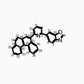 c1cc(-c2ccc3ncoc3c2)nc(-c2cc3ccc4ccccc4c3c3ccccc23)c1